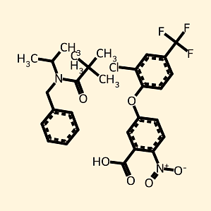 CC(C)N(Cc1ccccc1)C(=O)C(C)(C)C.O=C(O)c1cc(Oc2ccc(C(F)(F)F)cc2Cl)ccc1[N+](=O)[O-]